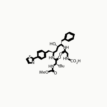 COC(=O)N[C@H](C(=O)N[C@@H](Cc1ccc(-c2nccs2)cc1)C[C@H](O)[C@H](Cc1ccccc1)NC(=O)CNC(=O)O)C(C)(C)C